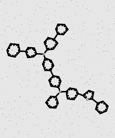 c1ccc(-c2ccc(N(c3ccc(-c4ccccc4)cc3)c3ccc(-c4ccc(N(c5ccccc5)c5ccc(-c6ccc(-c7ccccc7)o6)cc5)cc4)cc3)cc2)cc1